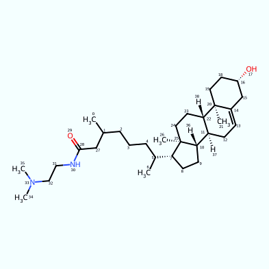 CC(CCCC(C)[C@H]1CC[C@H]2[C@@H]3CC=C4C[C@@H](O)CC[C@]4(C)[C@H]3CC[C@]12C)CC(=O)NCCN(C)C